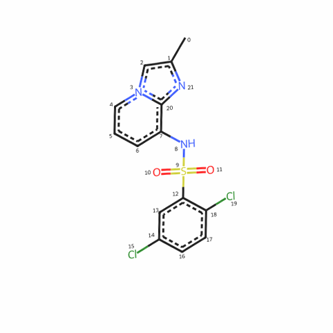 Cc1cn2cccc(NS(=O)(=O)c3cc(Cl)ccc3Cl)c2n1